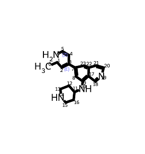 CC/C=C(\C=C/N)c1cc(NC2CCNCC2)c2cnccc2c1